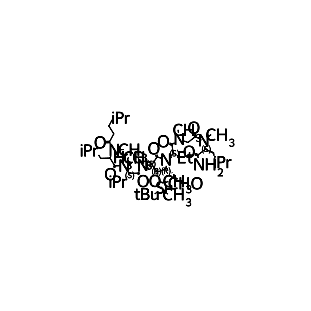 CC[C@@H](C(=O)N(C)CC(=O)N(C)[C@@H](CC(C)C)C(N)=O)N1C(=O)[C@@H](N(C)C(=O)[C@H](C(C)C)N(C)C(=O)C(CC(C)C)N(C)C(=O)CCC(C)C)[C@H](O[Si](C)(C)C(C)(C)C)[C@H]1CC=O